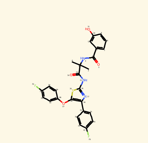 CC(C)(NC(=O)c1cccc(O)c1)C(=O)Nc1nc(-c2ccc(F)cc2)c(Oc2ccc(F)cc2)s1